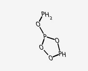 POp1oo[pH]o1